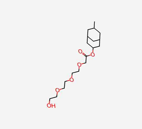 CC1CC2CC(C1)CC(OC(=O)COCCOCCOCCO)C2